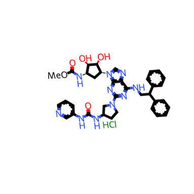 COC(=O)N[C@H]1C[C@@H](n2cnc3c(NCC(c4ccccc4)c4ccccc4)nc(N4CCC(NC(=O)Nc5cccnc5)C4)nc32)[C@H](O)[C@@H]1O.Cl